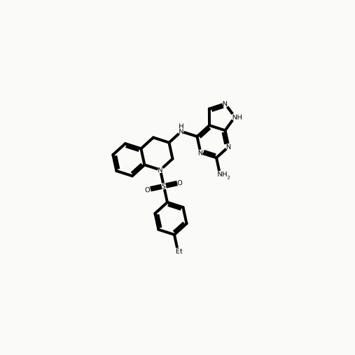 CCc1ccc(S(=O)(=O)N2CC(Nc3nc(N)nc4[nH]ncc34)Cc3ccccc32)cc1